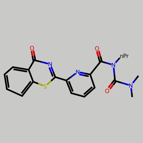 CCCN(C(=O)c1cccc(-c2nc(=O)c3ccccc3s2)n1)C(=O)N(C)C